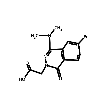 CN(C)c1nn(CC(=O)O)c(=O)c2ccc(Br)cc12